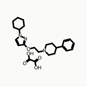 O=C(O)C(=O)O.c1ccc(C2CCN(CCOc3ccn(C4CCCCC4)n3)CC2)cc1